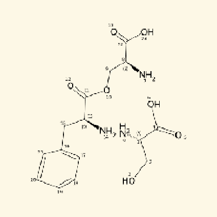 N[C@@H](CO)C(=O)O.N[C@@H](COC(=O)[C@@H](N)Cc1ccccc1)C(=O)O